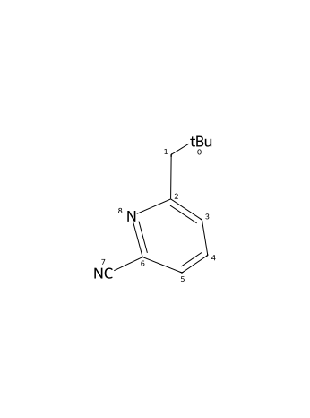 CC(C)(C)Cc1cccc(C#N)n1